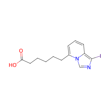 O=C(O)CCCCCc1cccc2c(I)ncn12